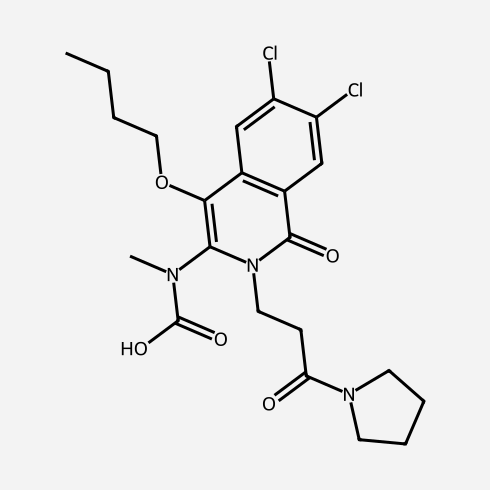 CCCCOc1c(N(C)C(=O)O)n(CCC(=O)N2CCCC2)c(=O)c2cc(Cl)c(Cl)cc12